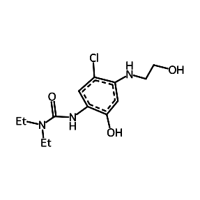 CCN(CC)C(=O)Nc1cc(Cl)c(NCCO)cc1O